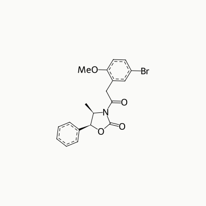 COc1ccc(Br)cc1CC(=O)N1C(=O)O[C@@H](c2ccccc2)[C@H]1C